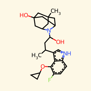 CC(CC(O)N1C2CC3(C)CC1CC(O)(C2)C3)c1c[nH]c2ccc(F)c(OC3CC3)c12